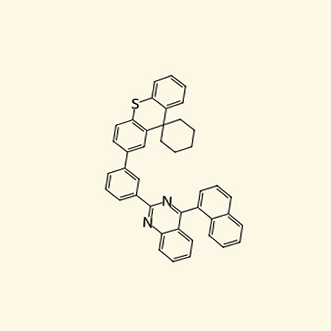 c1cc(-c2ccc3c(c2)C2(CCCCC2)c2ccccc2S3)cc(-c2nc(-c3cccc4ccccc34)c3ccccc3n2)c1